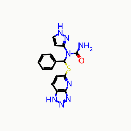 NC(=O)N(c1cc[nH]n1)C(Sc1ccc2[nH]nnc2n1)c1ccccc1